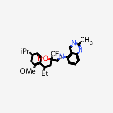 CCC(CC(O)(/C=N/c1cccc2nc(C)ncc12)C(F)(F)F)c1ccc(C(C)C)cc1OC